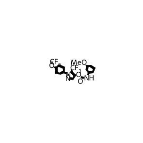 COc1cccc(NC(=O)Oc2cnn(-c3ccc(OC(F)(F)F)cc3)c2C(F)(F)F)c1